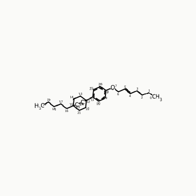 CCCC/C=C/COc1ccc(C23CCC(CCCCC)(CC2)CC3)cc1